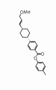 COCC=C[C@H]1CC[C@H](c2ccc(C(=O)Oc3ccc(C)cc3)cc2)CC1